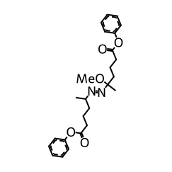 COC(C)(CCCC(=O)Oc1ccccc1)N=NC(C)CCCC(=O)Oc1ccccc1